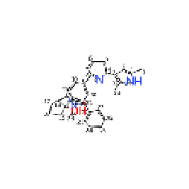 Cc1cc(-c2cccc(-c3ccc(C4(O)C5CCC4CN(Cc4ccccc4)C5)cc3)n2)c(C)[nH]1